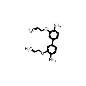 C=CCOc1cc(-c2ccc(N)c(OCC=C)c2)ccc1N